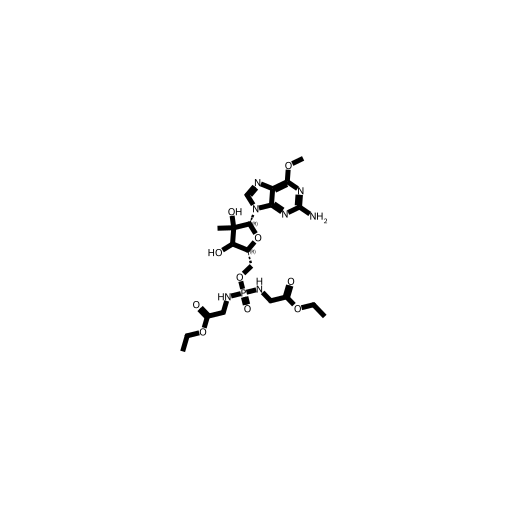 CCOC(=O)CNP(=O)(NCC(=O)OCC)OC[C@H]1O[C@@H](n2cnc3c(OC)nc(N)nc32)C(C)(O)C1O